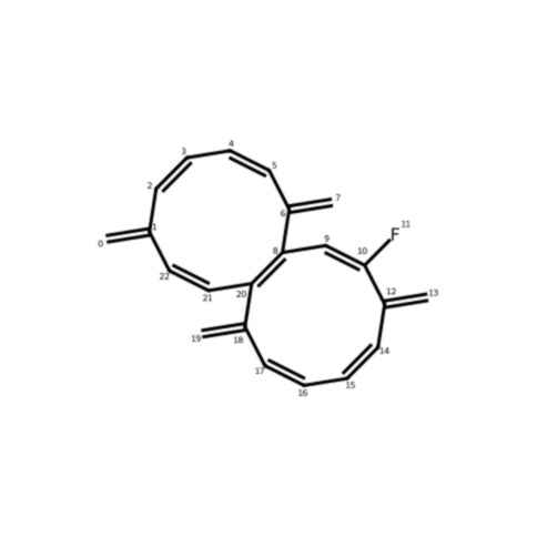 C=c1ccccc(=C)c2cc(F)c(=C)ccccc(=C)c2cc1